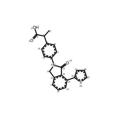 CC(C(=O)O)c1ccc(N2Cc3cccc(-c4cccs4)c3C2=O)cc1